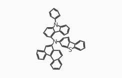 c1ccc(-n2c3ccccc3c3c(N(c4ccc5c(c4)sc4ccccc45)c4cc5ccccc5c5c4ccc4ccccc45)cccc32)cc1